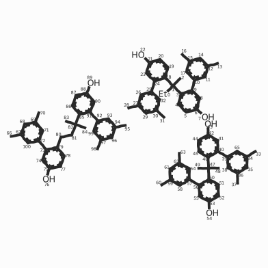 CCC(C)(c1ccc(O)cc1-c1cc(C)cc(C)c1)c1ccc(O)cc1-c1cc(C)cc(C)c1.Cc1cc(C)cc(-c2cc(O)ccc2C(C)(C)c2ccc(O)cc2-c2cc(C)cc(C)c2)c1.Cc1cc(C)cc(-c2cc(O)ccc2CCC(C)(C)c2ccc(O)cc2-c2cc(C)cc(C)c2)c1